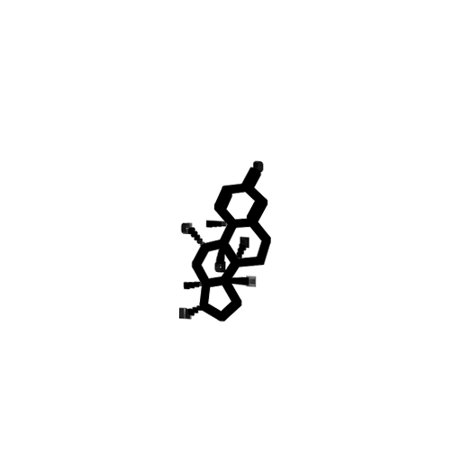 CC[C@H]1CC[C@H]2[C@@H]3CCC4=CC(=O)C=C[C@]4(C)[C@@]3(Cl)[C@@H](Cl)C[C@]12C